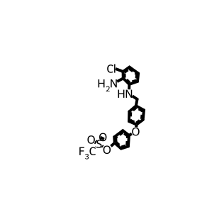 Nc1c(Cl)cccc1NCc1ccc(Oc2ccc(OS(=O)(=O)C(F)(F)F)cc2)cc1